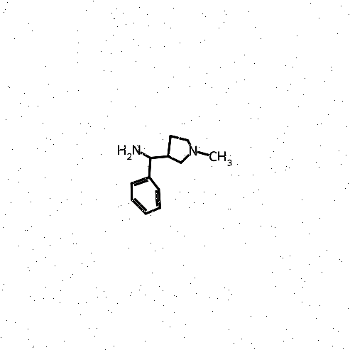 CN1CCC(C(N)c2ccccc2)C1